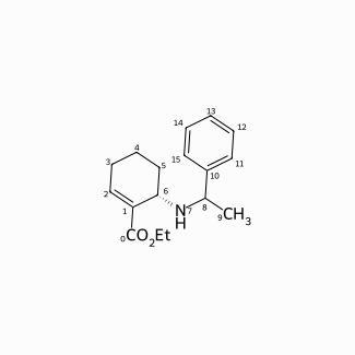 CCOC(=O)C1=CCCC[C@@H]1NC(C)c1ccccc1